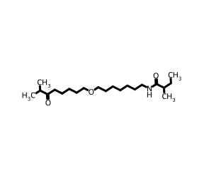 CCC(C)C(=O)NCCCCCCCOCCCCCC(=O)C(C)C